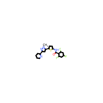 Cn1nc(-c2ccccn2)cc1-c1ccc(NC(=O)c2c(F)cc(F)cc2F)s1